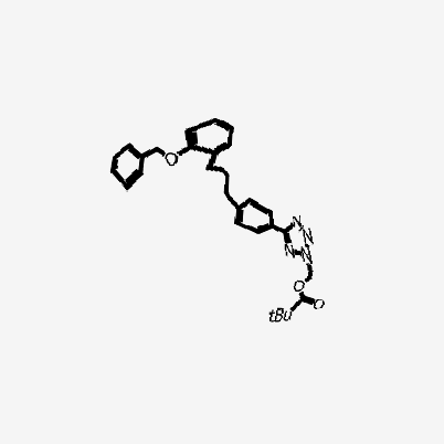 CC(C)(C)C(=O)OCn1nnc(-c2ccc(CCCc3ccccc3OCc3ccccc3)cc2)n1